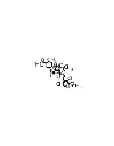 COc1ncc(Cl)c(CCN(CC(C)(C)C)C(=O)c2cnn(C3CCC(C(=O)O)C(C)C3)c2C(F)(F)F)c1Cl